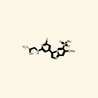 COc1cc2ncc(-c3cc(F)nc(NC[C@@H](C)O)c3)n2cc1S(=O)(=O)C(C)(C)C